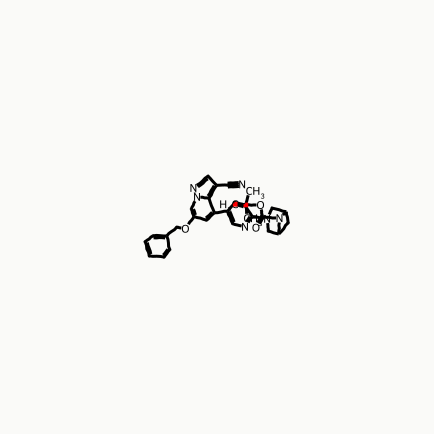 CC(C)(C)OC(=O)N1C2CC1CN(c1ccc(-c3cc(OCc4ccccc4)cn4ncc(C#N)c34)cn1)C2